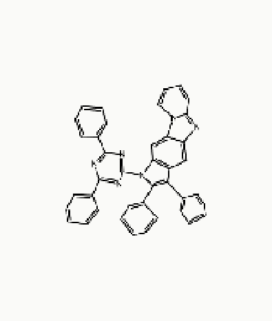 c1ccc(-c2nc(-c3ccccc3)nc(-n3c(-c4ccccc4)c(-c4ccccc4)c4cc5nc6ccccn6c5cc43)n2)cc1